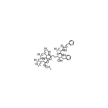 COC(=O)[C@@H](NC(=O)[C@@H](NC(=O)CCC[C@H](O)[C@H](Cc1ccccc1)NC(=O)[C@H](C)NC(=O)OCc1ccccc1)C(C)C)C(C)C